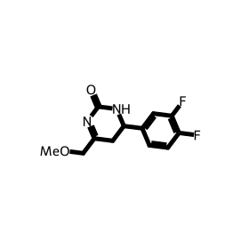 COCC1=NC(=O)NC(c2ccc(F)c(F)c2)C1